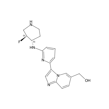 OCc1ccc2ncc(-c3cccc(N[C@H]4CCNC[C@@H]4F)n3)n2c1